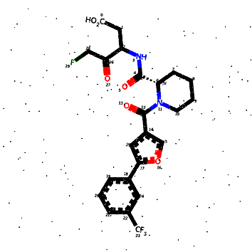 O=C(O)CC(NC(=O)[C@@H]1CCCCN1C(=O)c1coc(-c2cccc(C(F)(F)F)c2)c1)C(=O)CF